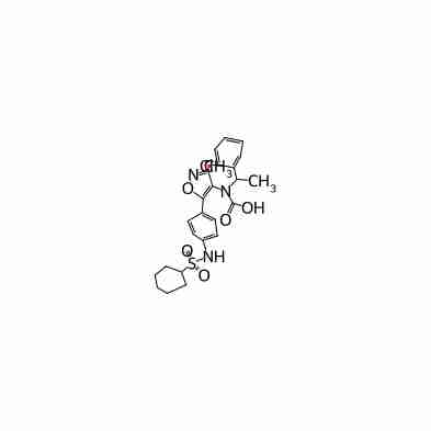 Cc1noc(-c2ccc(NS(=O)(=O)C3CCCCC3)cc2)c1N(C(=O)O)C(C)c1ccccc1Cl